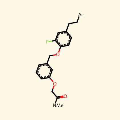 CNC(=O)COc1cccc(COc2ccc(CCC(C)=O)cc2F)c1